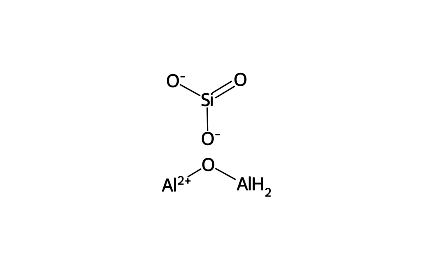 O=[Si]([O-])[O-].[Al+2][O][AlH2]